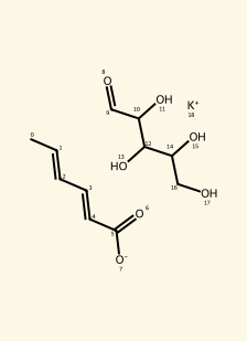 C/C=C/C=C/C(=O)[O-].O=CC(O)C(O)C(O)CO.[K+]